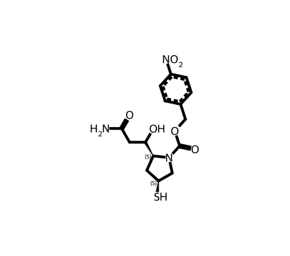 NC(=O)CC(O)[C@@H]1C[C@H](S)CN1C(=O)OCc1ccc([N+](=O)[O-])cc1